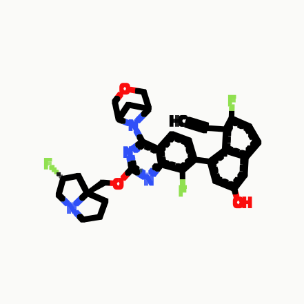 C#Cc1c(F)ccc2cc(O)cc(-c3ccc4c(N5C6COCC5C6)nc(OC[C@@]56CCCN5C[C@H](F)C6)nc4c3F)c12